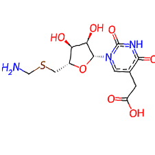 NCSC[C@H]1O[C@@H](n2cc(CC(=O)O)c(=O)[nH]c2=O)[C@H](O)[C@@H]1O